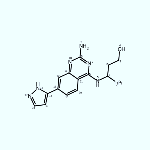 CCCC(CCO)Nc1nc(N)nc2cc(-c3ccn[nH]3)ccc12